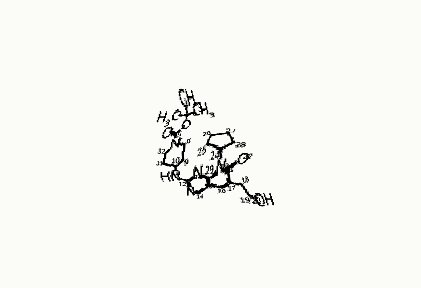 CC(C)(C)OC(=O)N1CCC(Nc2ncc3cc(CCO)c(=O)n(C4CCCC4)c3n2)CC1